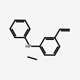 C=Cc1cccc(Pc2ccccc2)c1.CC